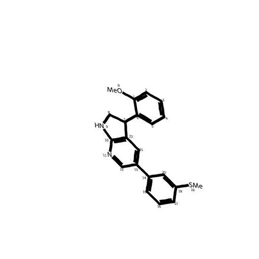 COc1ccccc1C1CNc2ncc(-c3cccc(SC)c3)cc21